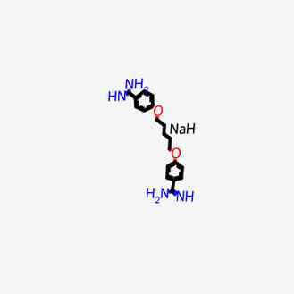 N=C(N)c1ccc(OCCCCCOc2ccc(C(=N)N)cc2)cc1.[NaH]